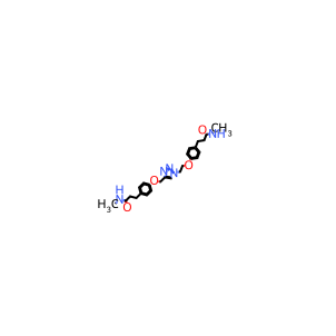 CNC(=O)CCc1ccc(OCCn2cc(COc3ccc(CCC(=O)NC)cc3)nn2)cc1